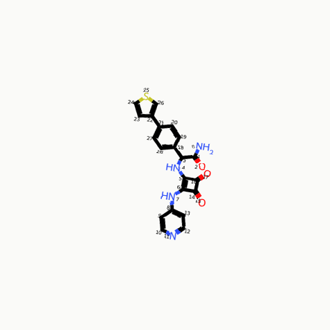 NC(=O)C(Nc1c(Nc2ccncc2)c(=O)c1=O)c1ccc(-c2ccsc2)cc1